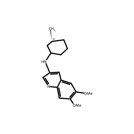 COc1cc2cc(NC3CCC[C@@H](C)C3)cnc2cc1OC